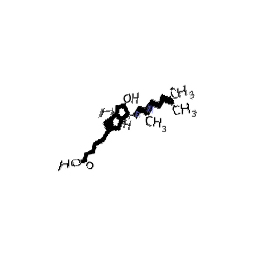 CC(C)=CC/C=C(C)/C=C/[C@@H]1[C@H]2CC(CCCCC(=O)O)=C[C@H]2C[C@H]1O